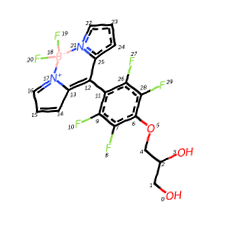 OCC(O)COc1c(F)c(F)c(C2=C3C=CC=[N+]3[B-](F)(F)n3cccc32)c(F)c1F